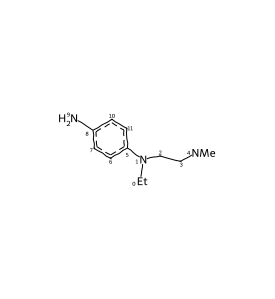 CCN(CCNC)c1ccc(N)cc1